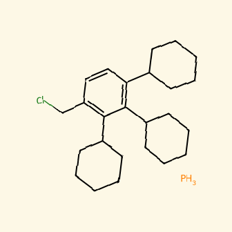 ClCc1ccc(C2CCCCC2)c(C2CCCCC2)c1C1CCCCC1.P